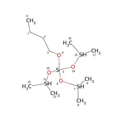 CCCCO[Si](O[SiH](C)C)(O[SiH](C)C)O[SiH](C)C